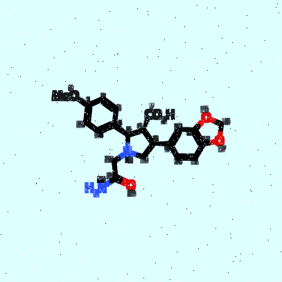 COc1ccc([C@H]2[C@H](C(=O)O)[C@@H](c3ccc4c(c3)OCO4)CN2CC(N)=O)cc1